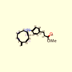 C=C1/C=C\C=C/C/C(Nc2ccc(CCC(=O)OC)cc2)=C\C=C/1